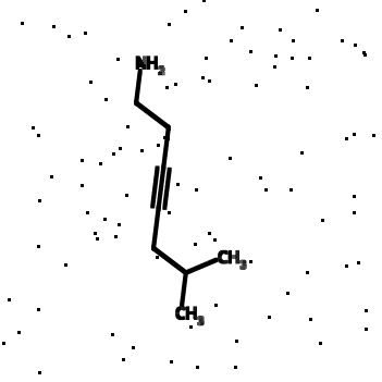 CC(C)CC#CCCN